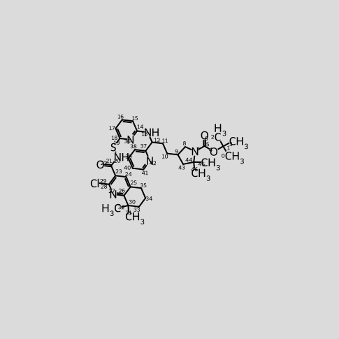 CC(C)(C)OC(=O)N1CC(CCC(Nc2cccc(SNC(=O)c3cc4c(nc3Cl)C(C)(C)CCC4)n2)c2ccccn2)CC1(C)C